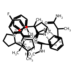 CC1C[C@H](C2CCCN2[C@@]2(C(=O)NC(=O)O)c3ccc(cc3)[C@]2(C)C(C)C(N)=O)N(c2ccc(F)cc2)[C@@]1(C)C1CCCN1[C@@]1(C(=O)NC(=O)O)c2ccc(cc2)[C@]1(C)C(C)C(N)=O